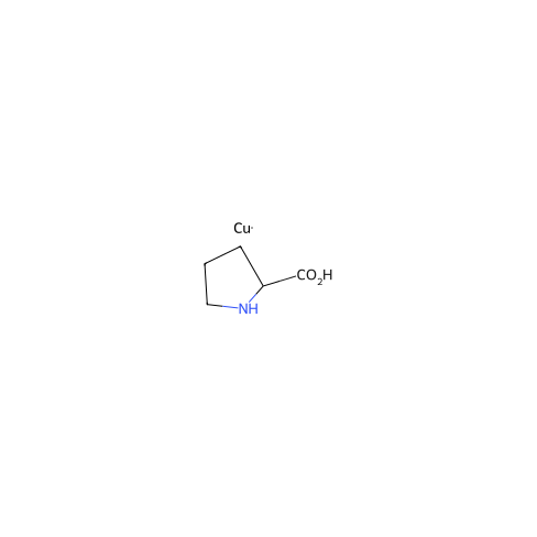 O=C(O)C1CCCN1.[Cu]